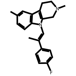 C/C(=C\n1c2c(c3cc(C)ccc31)CCN(C)C2)c1ccc(F)cc1